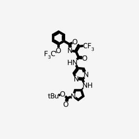 CC(C)(C)OC(=O)N1CC[C@H](Nc2ncc(NC(=O)c3nc(-c4ccccc4OC(F)(F)F)oc3C(F)(F)F)cn2)C1